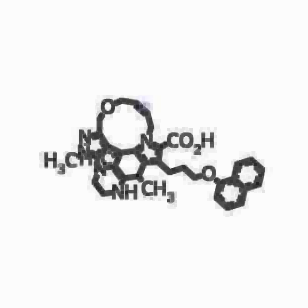 CC1C2=C3N(CCN2)Cc2c4c(nn2C)COC/C=C\Cn2c(C(=O)O)c(CCCOc5cccc6ccccc56)c1c2C34C